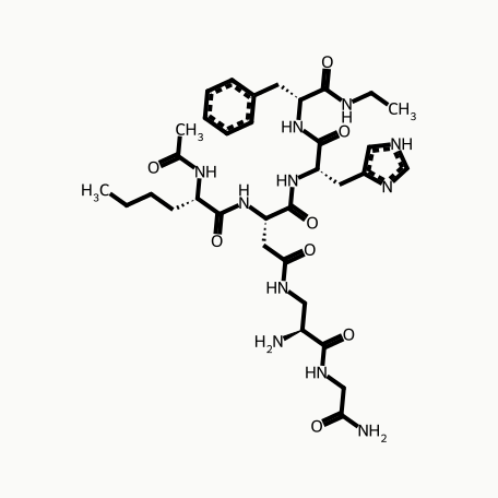 CCCC[C@H](NC(C)=O)C(=O)N[C@@H](CC(=O)NC[C@H](N)C(=O)NCC(N)=O)C(=O)N[C@@H](Cc1c[nH]cn1)C(=O)N[C@H](Cc1ccccc1)C(=O)NCC